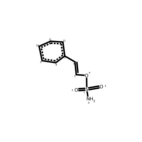 NS(=O)(=O)OC=Cc1ccccc1